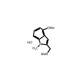 CNCc1cc2c(OC)cccc2n1C.Cl